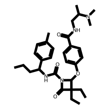 CCCC(NC(=O)N1C(=O)C(CC)(CC)C1Oc1ccc(C(=O)NCC(C)N(C)C)cc1)c1ccc(C)cc1